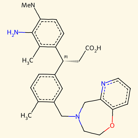 CNc1ccc([C@H](CC(=O)O)c2ccc(C)c(CN3CCOc4cccnc4C3)c2)c(C)c1N